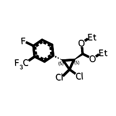 CCOC(OCC)[C@@H]1[C@@H](c2ccc(F)c(C(F)(F)F)c2)C1(Cl)Cl